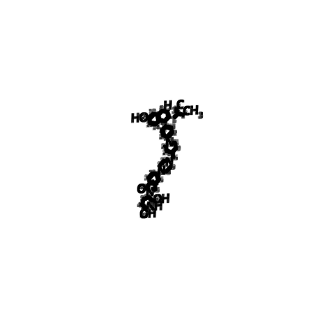 CCC(CC)C[C@H]1CCc2cc(O)ccc2[C@H]1c1ccc(N2CCC(CN3CCN(c4ccc5c(c4)CN(C4CCC(O)N[C@H]4O)C5=O)CC3)CC2)cc1